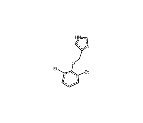 CCc1cccc(CC)c1OCc1c[nH]cn1